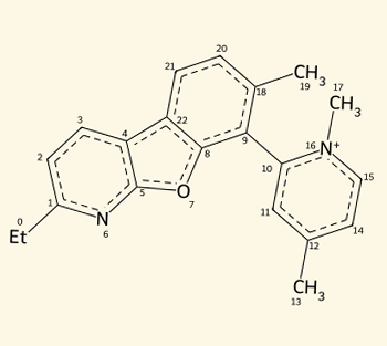 CCc1ccc2c(n1)oc1c(-c3cc(C)cc[n+]3C)c(C)ccc12